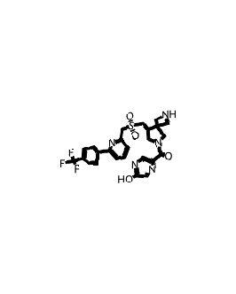 O=C(c1cnc(O)cn1)N1CC(CS(=O)(=O)Cc2cccc(-c3ccc(C(F)(F)F)cc3)n2)C2(CNC2)C1